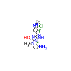 CCn1nc2ccc(-c3n[nH]c4nc(N(C)[C@@H]5CCC[C@H](N)[C@@H]5F)c(CO)nc34)c(F)c2c1Cl